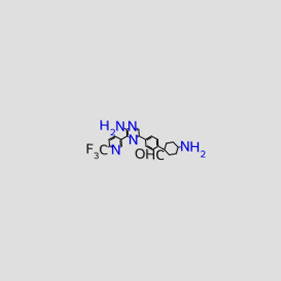 Nc1ncc(-c2ccc(C3(C=O)CCC(N)CC3)cc2)nc1-c1ccc(C(F)(F)F)nc1